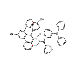 CC(C)(C)c1ccc(N(c2cc(O)cc(N(c3ccccc3)c3cccc(N(c4ccccc4)c4ccccc4)c3)c2Cl)c2c(-c3ccccc3)cc(C(C)(C)C)cc2-c2ccccc2)cc1